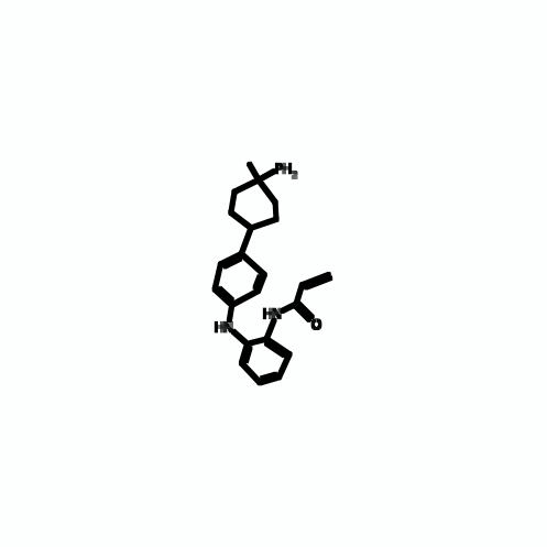 C=CC(=O)Nc1ccccc1Nc1ccc(C2CCC(C)(P)CC2)cc1